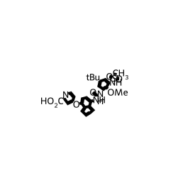 COc1c(NC(=O)Nc2ccc(Oc3ccnc(C(=O)O)c3)c3ccccc23)cc(C(C)(C)C)cc1NS(C)(=O)=O